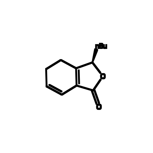 CCCC[C@H]1OC(=O)C2=C1CCC=C2